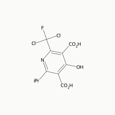 CC(C)c1nc(C(F)(Cl)Cl)c(C(=O)O)c(O)c1C(=O)O